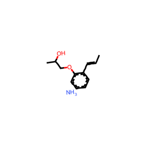 CC=Cc1ccccc1OCC(C)O.N